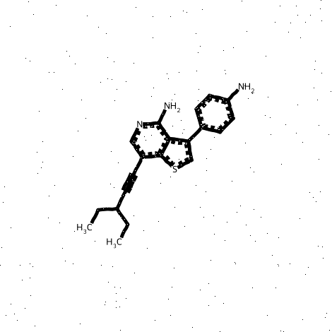 CC[C](C#Cc1cnc(N)c2c(-c3ccc(N)cc3)csc12)CC